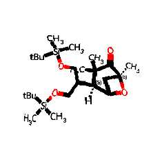 CC1(C)C(=O)[C@]2(C)CC(O2)[C@H]1C(CO[Si](C)(C)C(C)(C)C)CO[Si](C)(C)C(C)(C)C